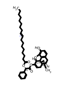 CCCCCCCC/C=C/CCCCCCCC(=O)O[C@H](C(=O)OC1=CC[C@]2(O)[C@@H]3Cc4ccc(O)c5c4[C@]2(CCN3C)[C@@H]1O5)c1ccccc1